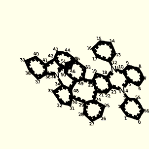 c1ccc(-n2c3ccccc3n(-c3ccccc3)c3cc4c(cc32)c2ccccc2c2cccc(-n3c5ccccc5c5ccccc53)c2c2ccccc42)cc1